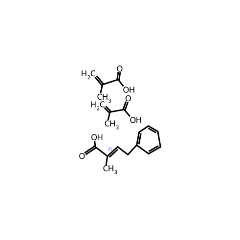 C/C(=C\Cc1ccccc1)C(=O)O.C=C(C)C(=O)O.C=C(C)C(=O)O